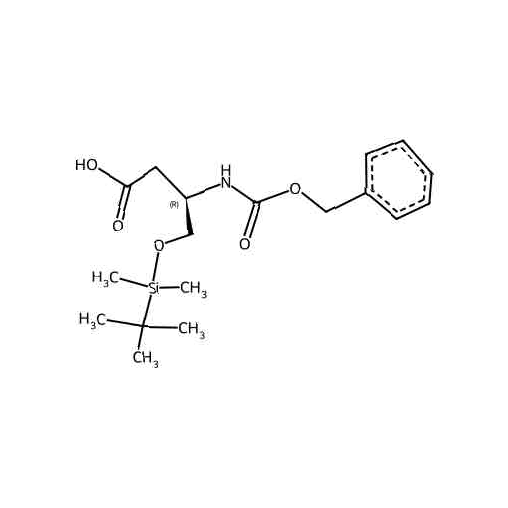 CC(C)(C)[Si](C)(C)OC[C@@H](CC(=O)O)NC(=O)OCc1ccccc1